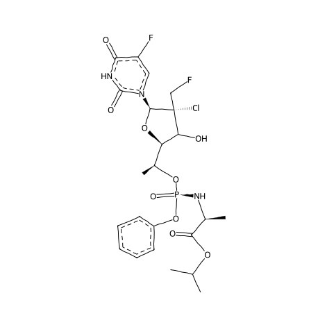 CC(C)OC(=O)[C@H](C)N[P@](=O)(Oc1ccccc1)O[C@@H](C)[C@H]1O[C@@H](n2cc(F)c(=O)[nH]c2=O)[C@@](Cl)(CF)C1O